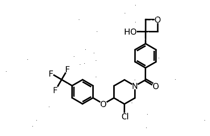 O=C(c1ccc(C2(O)COC2)cc1)N1CCC(Oc2ccc(C(F)(F)F)cc2)C(Cl)C1